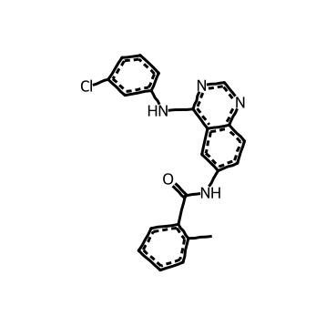 Cc1ccccc1C(=O)Nc1ccc2ncnc(Nc3cccc(Cl)c3)c2c1